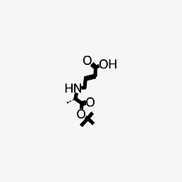 C[C@H](NC/C=C/C(=O)O)C(=O)OC(C)(C)C